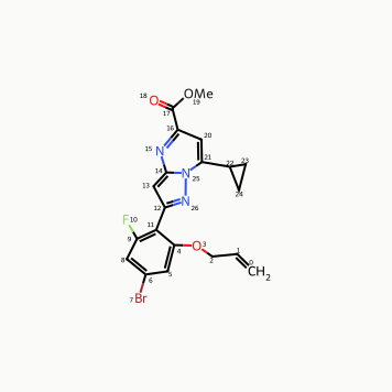 C=CCOc1cc(Br)cc(F)c1-c1cc2nc(C(=O)OC)cc(C3CC3)n2n1